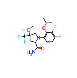 COC1(C(F)(F)F)CC(C(N)=O)N(c2ccc(F)c(F)c2OC(C)C)C1